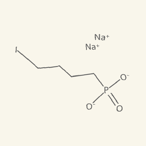 O=P([O-])([O-])CCCCI.[Na+].[Na+]